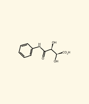 O=C(O)[C@@H](O)[C@H](O)C(=O)Nc1ccccc1